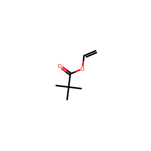 [CH2]C(C)(C)C(=O)OC=C